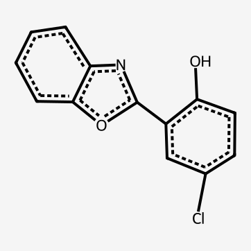 Oc1ccc(Cl)cc1-c1nc2ccccc2o1